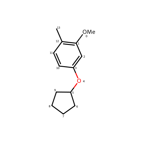 COc1cc(OC2CCCC2)ccc1C